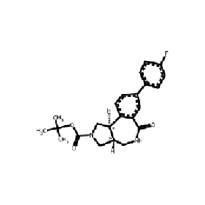 CC(C)(C)OC(=O)N1C[C@H]2CNC(=O)c3cc(-c4ccc(F)cc4)ccc3[C@@H]2C1